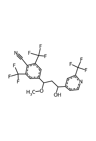 COC(CC(O)c1ccnc(C(F)(F)F)c1)c1cc(C(F)(F)F)c(C#N)c(C(F)(F)F)c1